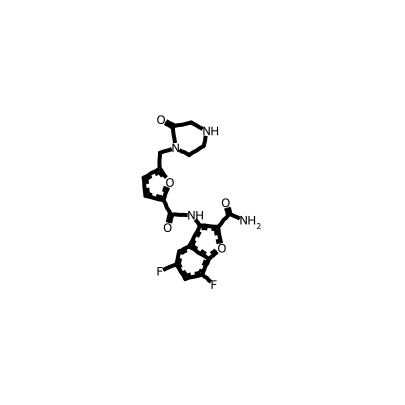 NC(=O)c1oc2c(F)cc(F)cc2c1NC(=O)c1ccc(CN2CCNCC2=O)o1